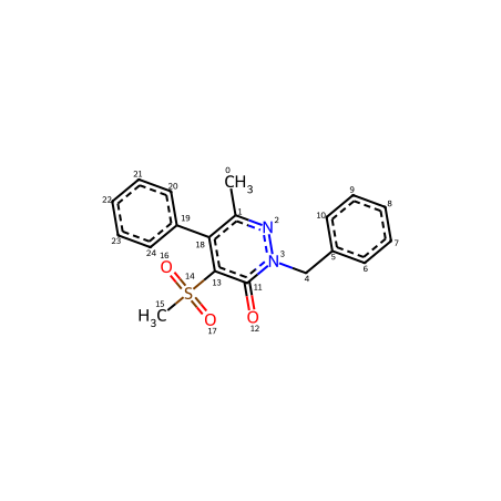 Cc1nn(Cc2ccccc2)c(=O)c(S(C)(=O)=O)c1-c1ccccc1